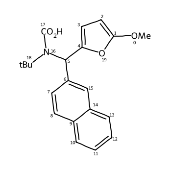 COc1ccc(C(c2ccc3ccccc3c2)N(C(=O)O)C(C)(C)C)o1